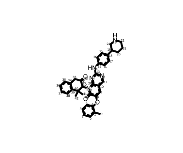 Cc1ccccc1Oc1cc2cnc(Nc3ccc(C4CCCNC4)cc3)nc2n(C2C(=O)Cc3ccccc3C2(C)C)c1=O